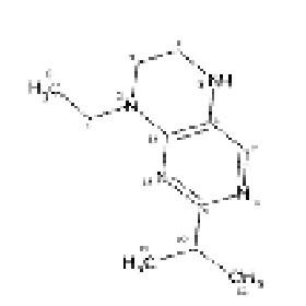 CCN1CCNc2cnc(C(C)C)nc21